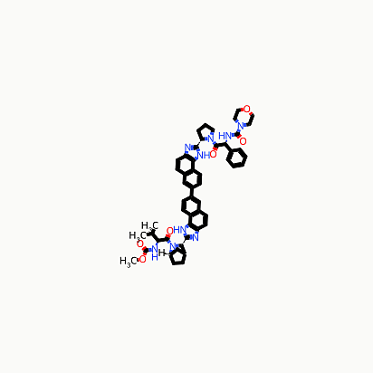 COC(=O)N[C@H](C(=O)N1[C@@H]2CCC(C2)[C@H]1c1nc2ccc3cc(-c4ccc5c(ccc6nc([C@@H]7CCCN7C(=O)[C@H](NC(=O)N7CCOCC7)c7ccccc7)[nH]c65)c4)ccc3c2[nH]1)C(C)C